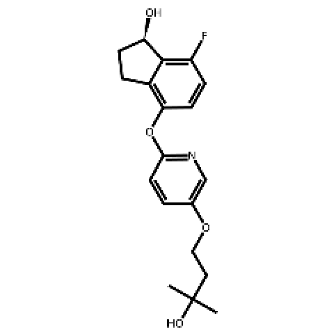 CC(C)(O)CCOc1ccc(Oc2ccc(F)c3c2CC[C@H]3O)nc1